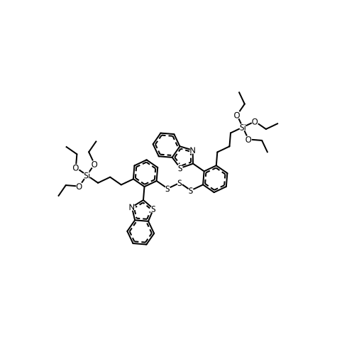 CCO[Si](CCCc1cccc(SSSc2cccc(CCC[Si](OCC)(OCC)OCC)c2-c2nc3ccccc3s2)c1-c1nc2ccccc2s1)(OCC)OCC